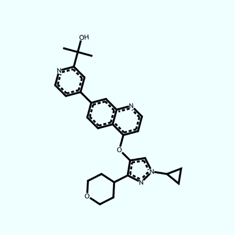 CC(C)(O)c1cc(-c2ccc3c(Oc4cn(C5CC5)nc4C4CCOCC4)ccnc3c2)ccn1